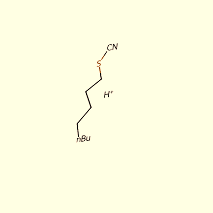 CCCCCCCCSC#N.[H+]